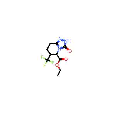 CCOC(=O)C1C(C(F)(F)F)CCc2n[nH]c(=O)n21